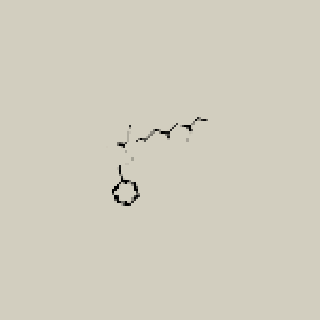 CN(CCC(O)CC(=O)CF)C(=O)OCc1ccccc1